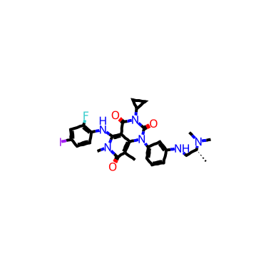 Cc1c(=O)n(C)c(Nc2ccc(I)cc2F)c2c(=O)n(C3CC3)c(=O)n(-c3cccc(NC[C@@H](C)N(C)C)c3)c12